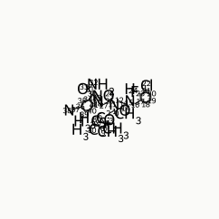 C[C@H](CO[Si](C)(C)C(C)(C)C)N(CC(=O)NCc1cccc(Cl)c1F)C(=O)Cn1nc(C(N)=O)c2cc(C#N)ccc21